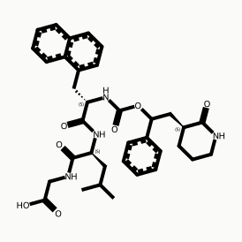 CC(C)C[C@H](NC(=O)[C@H](Cc1cccc2ccccc12)NC(=O)OC(C[C@@H]1CCCNC1=O)c1ccccc1)C(=O)NCC(=O)O